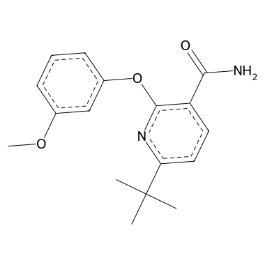 COc1cccc(Oc2nc(C(C)(C)C)ccc2C(N)=O)c1